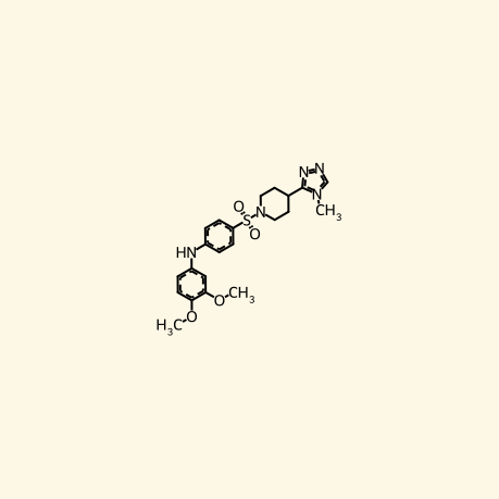 COc1ccc(Nc2ccc(S(=O)(=O)N3CCC(c4nncn4C)CC3)cc2)cc1OC